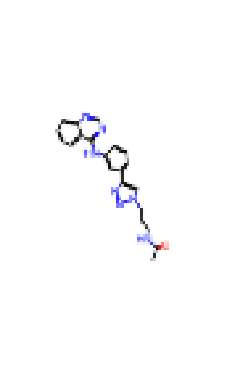 CC(=O)NCCCn1cc(-c2cccc(Nc3ncnc4ccccc34)c2)nn1